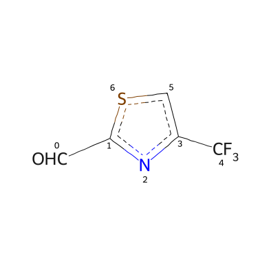 O=Cc1nc(C(F)(F)F)cs1